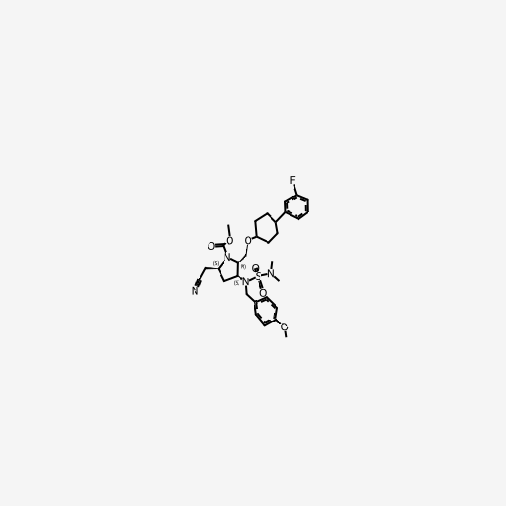 COC(=O)N1[C@H](CC#N)C[C@H](N(Cc2ccc(OC)cc2)S(=O)(=O)N(C)C)[C@@H]1COC1CCC(c2cccc(F)c2)CC1